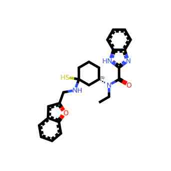 CCN(C(=O)c1nc2ccccc2[nH]1)[C@H]1CCCC(S)(NCc2cc3ccccc3o2)C1